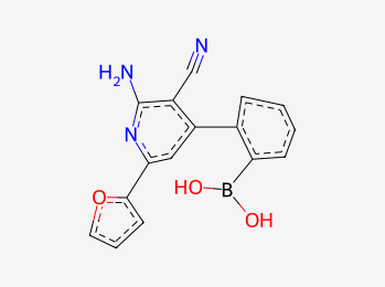 N#Cc1c(-c2ccccc2B(O)O)cc(-c2ccco2)nc1N